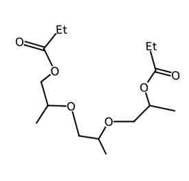 CCC(=O)OCC(C)OCC(C)OCC(C)OC(=O)CC